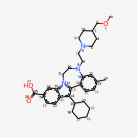 COCC1CCN(CCN2CCn3c(c(C4CCCCC4)c4ccc(C(=O)O)cc43)-c3ccc(C)cc32)CC1